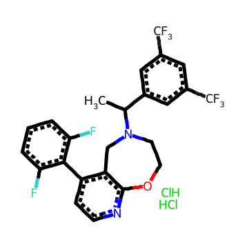 CC(c1cc(C(F)(F)F)cc(C(F)(F)F)c1)N1CCOc2nccc(-c3c(F)cccc3F)c2C1.Cl.Cl